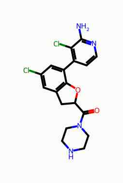 Nc1nccc(-c2cc(Cl)cc3c2OC(C(=O)N2CCNCC2)C3)c1Cl